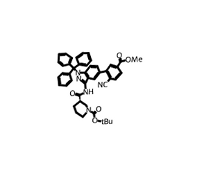 COC(=O)c1ccc(C#N)c(-c2ccc3c(c2)c(NC(=O)[C@@H]2CCCN(C(=O)OC(C)(C)C)C2)nn3C(c2ccccc2)(c2ccccc2)c2ccccc2)c1